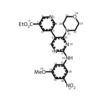 CCOC(=O)c1cncc(-c2cnc(Nc3cc(OC)cc([N+](=O)[O-])c3)nc2N2CCOCC2)c1